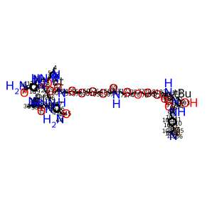 CCn1nc(C)cc1C(=O)Nc1nc2cc(C(N)=O)ccc2n1CCC(CCn1c(NC(=O)c2cc(C)nn2CC)nc2cc(C(N)=O)ccc21)OCC(=O)NCCOCCOCCOCCOCCC(=O)NCCOCCOCCOCCOCC(=O)N[C@H](C(=O)N1C[C@H](O)C[C@H]1C(=O)NCc1ccc(-c2scnc2C)cc1)C(C)(C)C